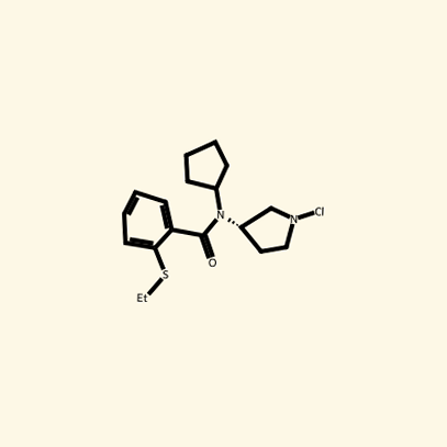 CCSc1ccccc1C(=O)N(C1CCCC1)[C@H]1CCN(Cl)C1